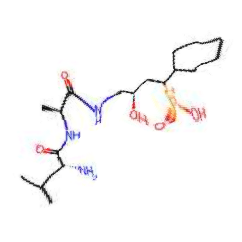 CC(C)[C@@H](N)C(=O)N[C@@H](C)C(=O)NC[C@H](O)CC(C1CCCCC1)[PH](=O)O